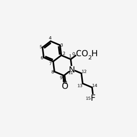 O=C(O)C1c2ccccc2CC(=O)N1CCCF